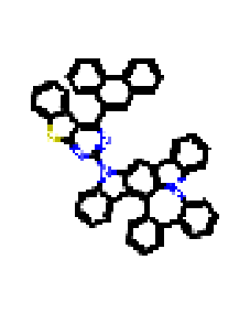 c1ccc2c(c1)-c1ccccc1-n1c3ccccc3c3cc4c(c-2c31)c1ccccc1n4-c1nc(-c2cc3ccccc3c3ccccc23)c2c(n1)sc1ccccc12